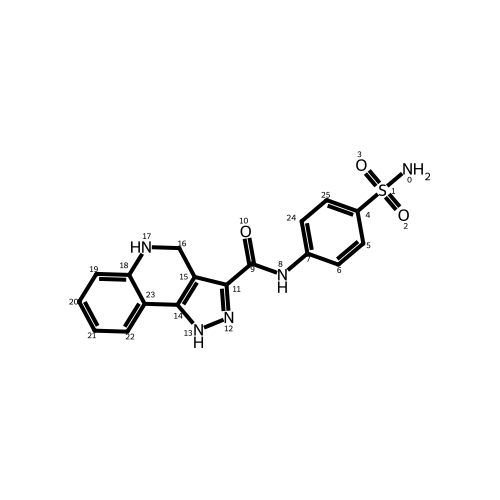 NS(=O)(=O)c1ccc(NC(=O)c2n[nH]c3c2CNc2ccccc2-3)cc1